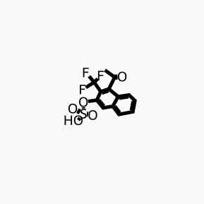 CC(=O)c1c(C(F)(F)F)c(OS(=O)(=O)O)cc2ccccc12